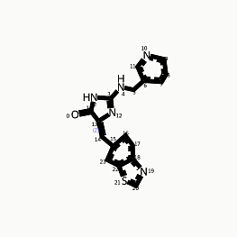 O=C1NC(NCc2cccnc2)=N/C1=C\c1ccc2ncsc2c1